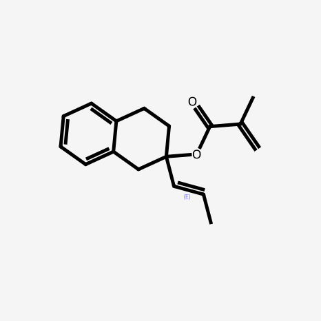 C=C(C)C(=O)OC1(/C=C/C)CCc2ccccc2C1